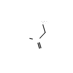 CNC[13C](=O)O